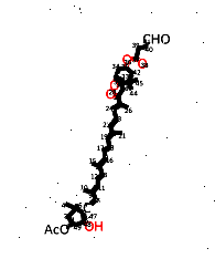 CC(=O)OC1CC(C)(C)C(=C=C/C(C)=C/C=C/C(C)=C/C=C/C=C(C)/C=C/C=C(\C)C(=O)CC23OC2(C)CC(OC(=O)CCC=O)CC3(C)C)[C@@](C)(O)C1